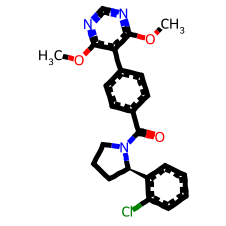 COc1ncnc(OC)c1-c1ccc(C(=O)N2CCC[C@@H]2c2ccccc2Cl)cc1